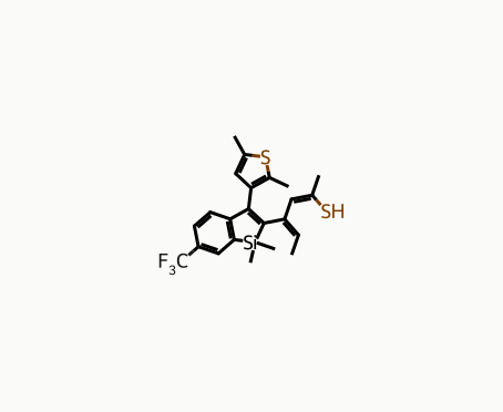 C/C=C(/C=C(/C)S)C1=C(c2cc(C)sc2C)c2ccc(C(F)(F)F)cc2[Si]1(C)C